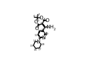 CC1(C)OC(=O)C(=C(N)c2ccc(N3CCCCC3)nn2)C(=O)O1